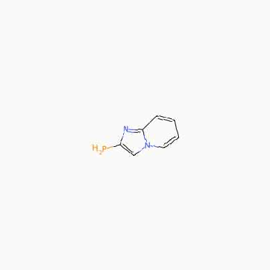 Pc1cn2ccccc2n1